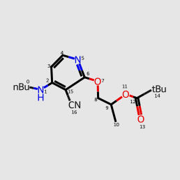 CCCCNc1ccnc(OCC(C)OC(=O)C(C)(C)C)c1C#N